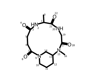 CC1NC(=O)CCC(=O)N2CCCC(C2)N(C)C(=O)CNC1=O